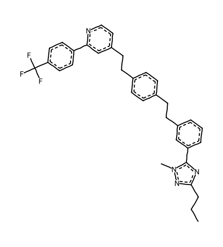 CCCc1nc(-c2cccc(CCc3ccc(CCc4ccnc(-c5ccc(C(F)(F)F)cc5)c4)cc3)c2)n(C)n1